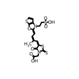 CC(=CC=C1Oc2sccc2N1CCS(=O)(=O)O)C=C1SC(=S)N(CC(=O)O)C1=O